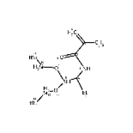 C=C(C)C(=O)NC(CC)[SiH](O[SiH2]C(C)(C)C)O[SiH2]C(C)(C)C